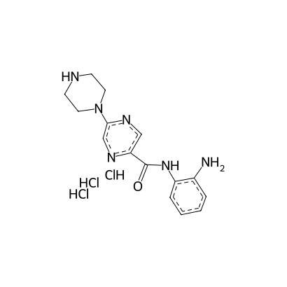 Cl.Cl.Cl.Nc1ccccc1NC(=O)c1cnc(N2CCNCC2)cn1